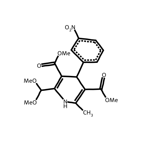 COC(=O)C1=C(C)NC(C(OC)OC)=C(C(=O)OC)C1c1cccc([N+](=O)[O-])c1